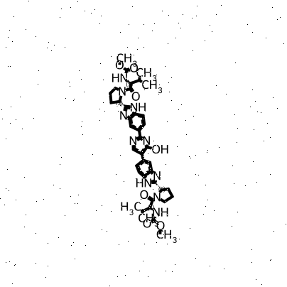 COC(=O)N[C@H](C(=O)N1CCC[C@H]1c1nc2cc(-c3ncc(-c4ccc5[nH]c([C@@H]6CCCN6C(=O)[C@@H](NC(=O)OC)C(C)C)nc5c4)c(O)n3)ccc2[nH]1)C(C)C